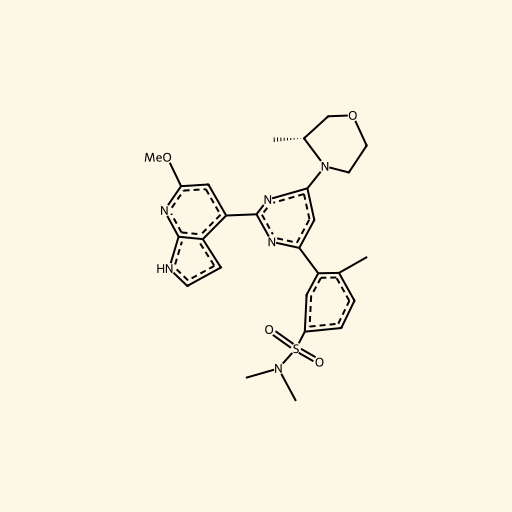 COc1cc(-c2nc(-c3cc(S(=O)(=O)N(C)C)ccc3C)cc(N3CCOC[C@H]3C)n2)c2cc[nH]c2n1